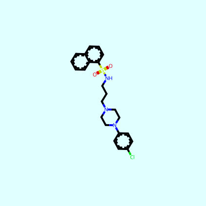 O=S(=O)(NCCCN1CCN(c2ccc(Cl)cc2)CC1)c1cccc2ccccc12